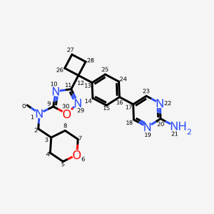 CN(CC1CCOCC1)c1nc(C2(c3ccc(-c4cnc(N)nc4)cc3)CCC2)no1